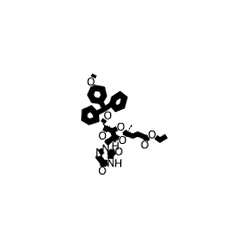 CCOC(=O)CC[C@]1(C)OC2[C@@H](COC(c3ccccc3)(c3ccccc3)c3ccc(OC)cc3)O[C@@H](n3ncc(=O)[nH]c3=O)[C@H]2O1